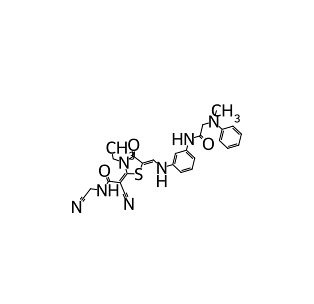 CCn1c(=C(C#N)C(=O)NCC#N)sc(=CNc2cccc(NC(=O)CN(C)c3ccccc3)c2)c1=O